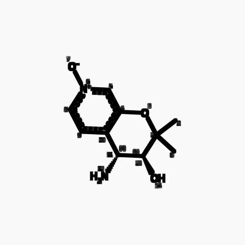 CC1(C)Oc2c[n+]([O-])ccc2[C@@H](N)[C@@H]1O